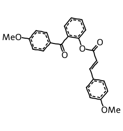 COc1ccc(C=CC(=O)Oc2ccccc2C(=O)c2ccc(OC)cc2)cc1